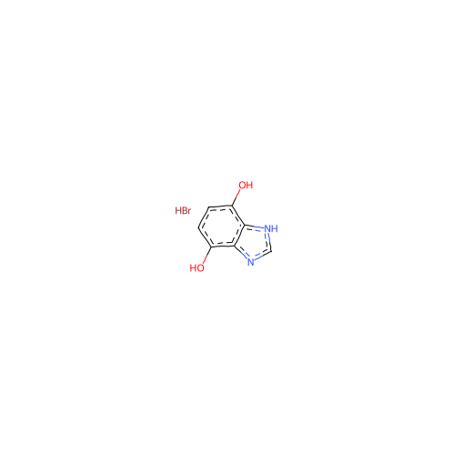 Br.Oc1ccc(O)c2[nH]cnc12